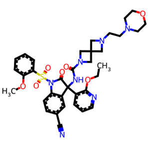 CCOc1ncccc1C1(NC(=O)N2CC3(CN(CCN4CCOCC4)C3)C2)C(=O)N(S(=O)(=O)c2ccccc2OC)c2ccc(C#N)cc21